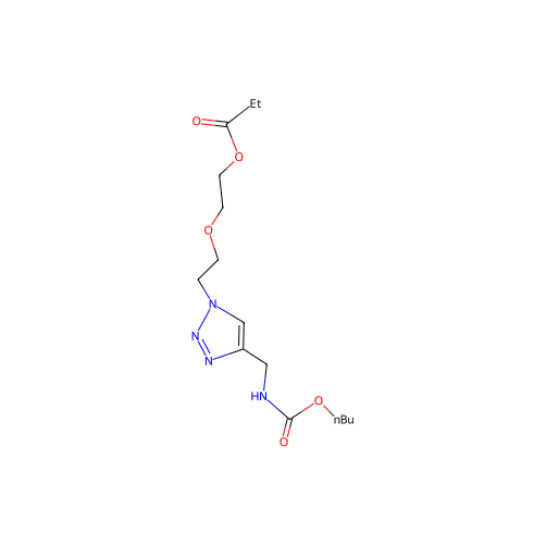 CCCCOC(=O)NCc1cn(CCOCCOC(=O)CC)nn1